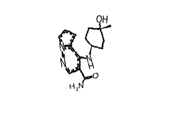 C[C@]1(O)CC[C@H](Nc2c(C(N)=O)cnn3cccc23)CC1